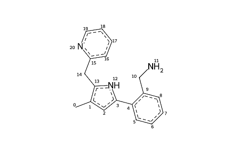 Cc1cc(-c2ccccc2CN)[nH]c1Cc1ccccn1